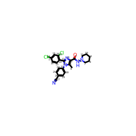 Cc1c(C(=O)NN2CCCCC2)nc(-c2ccc(Cl)cc2Cl)n1-c1ccc(C#N)cc1